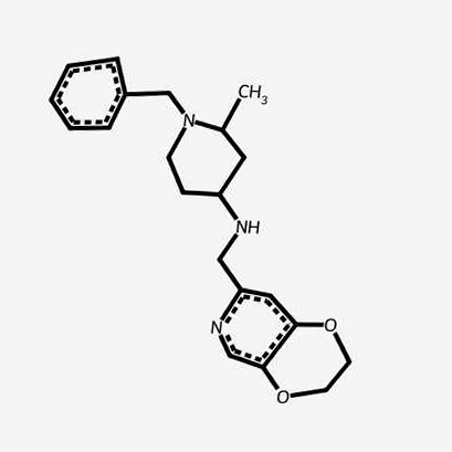 CC1CC(NCc2cc3c(cn2)OCCO3)CCN1Cc1ccccc1